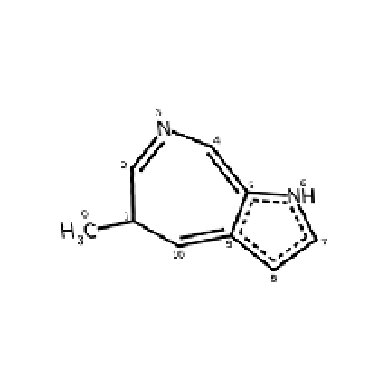 CC1C=NC=c2[nH]ccc2=C1